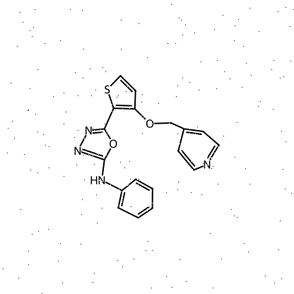 c1ccc(Nc2nnc(-c3sccc3OCc3ccncc3)o2)cc1